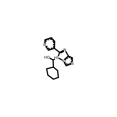 OC(C1CCCCC1)[SH]1C(c2cccnc2)=Nc2cncn21